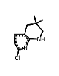 CC1(C)CNc2nc(Cl)ccc2C1